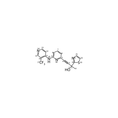 CC(O)(C#Cc1cccc(Nc2ccncc2C(F)(F)F)n1)c1nccs1